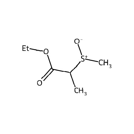 CCOC(=O)C(C)[S+](C)[O-]